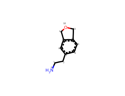 NCCc1ccc2c(c1)COC2